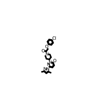 Cc1cc(C)n(-c2ccc(=O)n(C3CCN(C(=O)COc4ccc(Cl)cc4)CC3)n2)n1